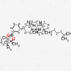 CC(C)CCCC[C@H]1CC[C@H]2[C@@H]3CC[C@H]4CC(c5cccc(B6OC(C)(C)C(C)(C)O6)c5)CC[C@]4(C)[C@H]3CC[C@]12C